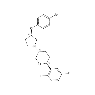 Fc1ccc(F)c([C@@H]2CC[C@@H](N3CC[C@@H](Oc4ccc(Br)cc4)C3)CO2)c1